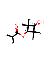 CC(C)C(=O)OC1C(C)(C)C(O)C1(C)C